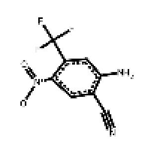 N#Cc1cc([N+](=O)[O-])c(C(F)(F)F)cc1N